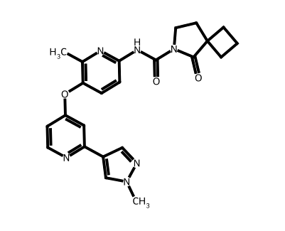 Cc1nc(NC(=O)N2CCC3(CCC3)C2=O)ccc1Oc1ccnc(-c2cnn(C)c2)c1